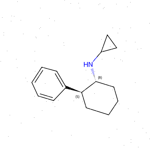 c1ccc([C@@H]2CCCC[C@H]2NC2CC2)cc1